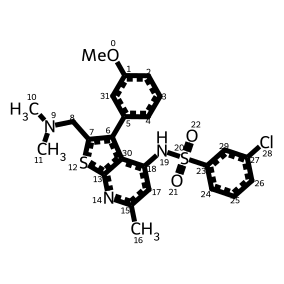 COc1cccc(-c2c(CN(C)C)sc3nc(C)cc(NS(=O)(=O)c4cccc(Cl)c4)c23)c1